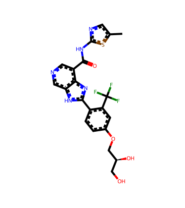 Cc1cnc(NC(=O)c2cncc3[nH]c(-c4ccc(OC[C@@H](O)CO)cc4C(F)(F)F)nc23)s1